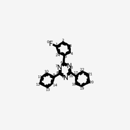 Fc1cccc(-c2nc(-c3ccccc3)nc(-c3ccccc3)n2)c1